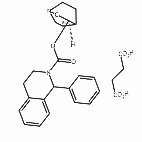 O=C(O)CCC(=O)O.O=C(O[C@H]1CN2CCC1CC2)N1CCc2ccccc2C1c1ccccc1